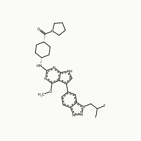 COc1nc(N[C@H]2CC[C@@H](C(=O)N3CCCC3)CC2)nc2[nH]cc(-c3ccc4nnn(CC(F)F)c4c3)c12